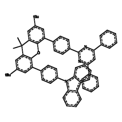 CC(C)(C)c1cc(-c2ccc(-c3nc(-c4ccccc4)cc(-c4ccccc4)n3)cc2)c2c(c1)C(C)(C)c1cc(C(C)(C)C)cc(-c3ccc(-n4c5ccccc5c5ccccc54)cc3)c1O2